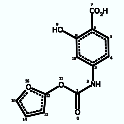 O=C(Nc1ccc(C(=O)O)c(O)c1)Oc1ccco1